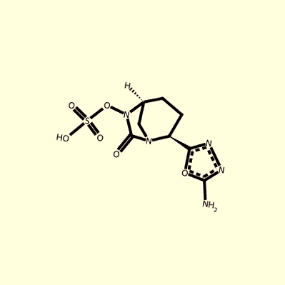 Nc1nnc([C@@H]2CC[C@H]3CN2C(=O)N3OS(=O)(=O)O)o1